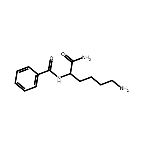 NCCCCC(NC(=O)c1ccccc1)C(N)=O